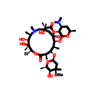 CC[C@H]1OC(=O)[C@H](C)[C@@H](O[C@H]2C[C@@](C)(OC)[C@@H](O)[C@H](C)O2)[C@H](C)[C@@H](O[C@@H]2O[C@H](C)C[C@H](N(C)C)[C@H]2OC(=O)[C@@H](C)O)[C@](C)(O)C[C@@H](C)CN(C)[C@H](C)[C@@H](O)[C@]1(C)O